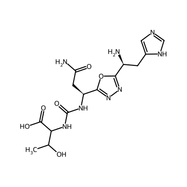 CC(O)C(NC(=O)N[C@@H](CC(N)=O)c1nnc([C@@H](N)Cc2cnc[nH]2)o1)C(=O)O